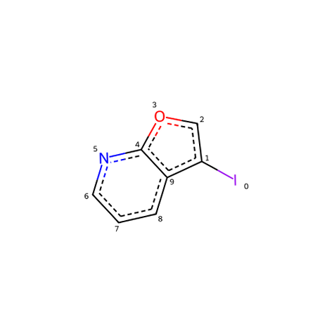 Ic1coc2ncccc12